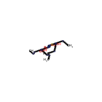 CCCCC/C=C\C/C=C\CCCCCCC(O)CN(CCCCC(=O)OCCN1CCN(CCSSCCCN(CC(O)CCCCCC/C=C\CCCCCCCC)CC(O)CCCCCC/C=C\CCCCCCCC)CC1)CC(O)CCCCCC/C=C\C/C=C\CCCCC